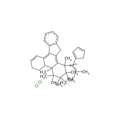 C[C](C)=[Hf+2]([C]1=CC=CC1)[C]1(C)C2=C3Cc4ccccc4C3=C3C=CCCC3C2(C)C(C)(C)C(C)(C)C1(C)C.[Cl-].[Cl-]